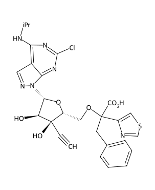 C#C[C@@]1(O)[C@@H](COC(Cc2ccccc2)(C(=O)O)c2cscn2)O[C@@H](n2ncc3c(NC(C)C)nc(Cl)nc32)[C@@H]1O